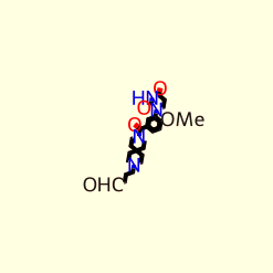 COc1ccc(C(=O)N2CCC3(CCN(CCCC=O)CC3)CC2)cc1N1CCC(=O)NC1=O